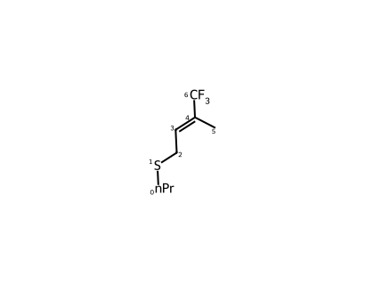 [CH2]CCSCC=C(C)C(F)(F)F